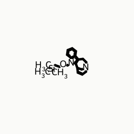 C[Si](C)(C)CCOCn1c2c(c3ccccc31)CCN1CC=CC2C1